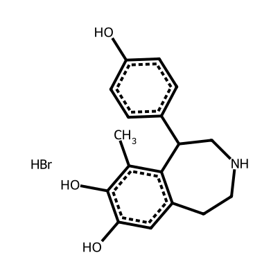 Br.Cc1c(O)c(O)cc2c1C(c1ccc(O)cc1)CNCC2